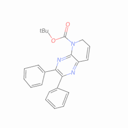 CC(C)(C)OC(=O)N1CC=Cc2nc(-c3ccccc3)c(-c3ccccc3)nc21